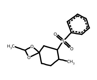 CC1OC2(CCC(C)C(S(=O)(=O)c3ccccc3)C2)O1